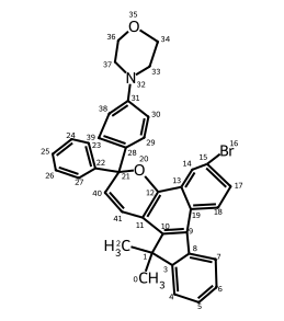 CC1(C)c2ccccc2-c2c1c1c(c3cc(Br)ccc23)OC(c2ccccc2)(c2ccc(N3CCOCC3)cc2)C=C1